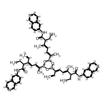 C=C/C(=C\C=C(/C)C(CN)C(=O)Nc1ccc2cnccc2c1)B1OB(/C(C)=C/C=C(\C)C(CN)C(=O)Nc2ccc3cnccc3c2)OB(/C(C)=C/C=C(\C=C)C(CN)C(=O)Nc2ccc3cnccc3c2)O1